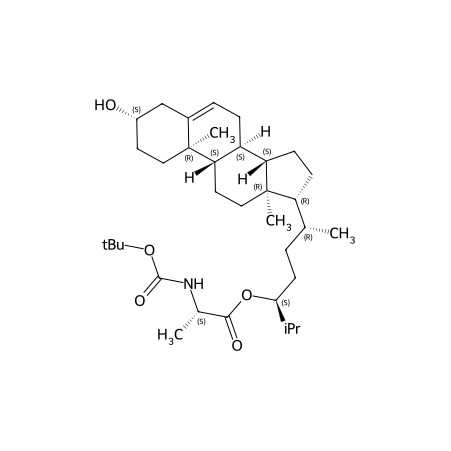 CC(C)[C@H](CC[C@@H](C)[C@H]1CC[C@H]2[C@@H]3CC=C4C[C@@H](O)CC[C@]4(C)[C@H]3CC[C@]12C)OC(=O)[C@H](C)NC(=O)OC(C)(C)C